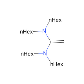 C=C(N(CCCCCC)CCCCCC)N(CCCCCC)CCCCCC